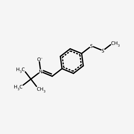 CSSc1ccc(C=[N+]([O-])C(C)(C)C)cc1